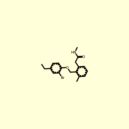 CCc1ccc(OCc2c(C)cccc2CC(=O)NC)c(Br)c1